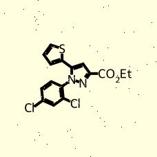 CCOC(=O)c1cc(-c2cccs2)n(-c2ccc(Cl)cc2Cl)n1